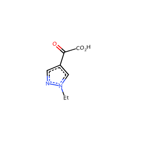 CCn1cc(C(=O)C(=O)O)cn1